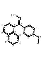 CSc1ccc(/C(=N/O)c2cccc3ccccc23)cc1